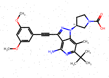 COc1cc(C#Cc2nn([C@H]3CCN(C(=O)O)C3)c3c(C)c(C(C)(C)C)nc(N)c23)cc(OC)c1